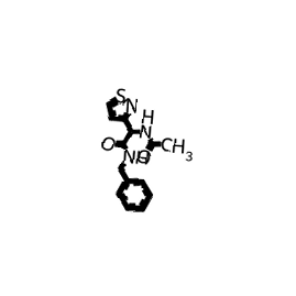 CC(=O)NC(C(=O)NCc1ccccc1)c1ccsn1